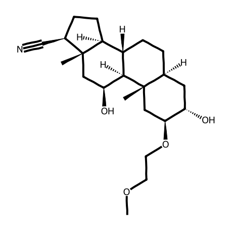 COCCO[C@H]1C[C@@]2(C)[C@@H](CC[C@@H]3[C@@H]2[C@@H](O)C[C@]2(C)[C@@H](C#N)CC[C@@H]32)C[C@@H]1O